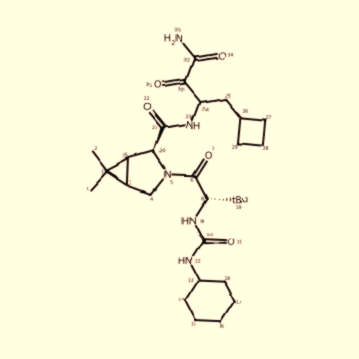 CC1(C)C2CN(C(=O)[C@@H](NC(=O)NC3CCCCC3)C(C)(C)C)[C@H](C(=O)NC(CC3CCC3)C(=O)C(N)=O)C21